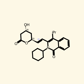 CC(C)c1c(/C=C/[C@@H]2C[C@@H](O)CC(=O)O2)n(C2CCCCC2)c(=O)c2ccccc12